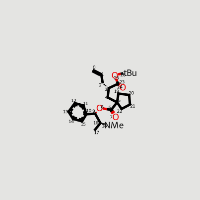 C=CC[C@@H](CC1(C(=O)O[C@@H](c2ccccc2)[C@H](C)NC)CCCC1)C(=O)OC(C)(C)C